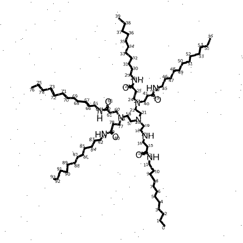 CCCCCCCCCCCCNC(=O)CCNCCN(CCN(CCC(=O)NCCCCCCCCCCC)CCC(=O)NCCCCCCCCCCCC)CCN(CCC(=O)NCCCCCCCCCCCC)CCC(=O)NCCCCCCCCCCCC